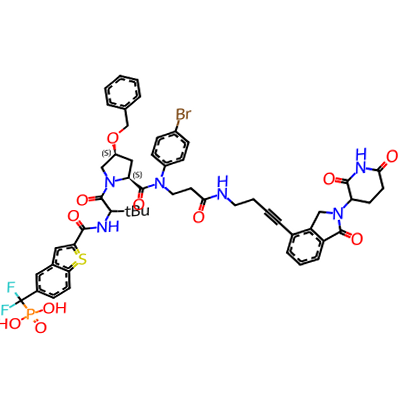 CC(C)(C)C(NC(=O)c1cc2cc(C(F)(F)P(=O)(O)O)ccc2s1)C(=O)N1C[C@@H](OCc2ccccc2)C[C@H]1C(=O)N(CCC(=O)NCCC#Cc1cccc2c1CN(C1CCC(=O)NC1=O)C2=O)c1ccc(Br)cc1